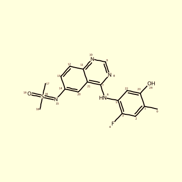 Cc1cc(F)c(Nc2ncnc3ccc(N=S(C)(C)=O)cc23)cc1O